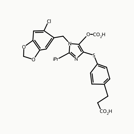 CC(C)c1nc(Sc2ccc(CCC(=O)O)cc2)c(OC(=O)O)n1Cc1cc2c(cc1Cl)OCO2